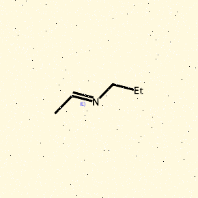 [CH2]CC/N=C/C